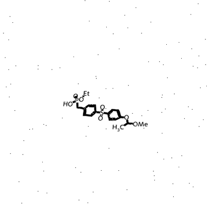 CCOP(=O)(O)Cc1ccc(S(=O)(=O)c2ccc(OC(C)OC)cc2)cc1